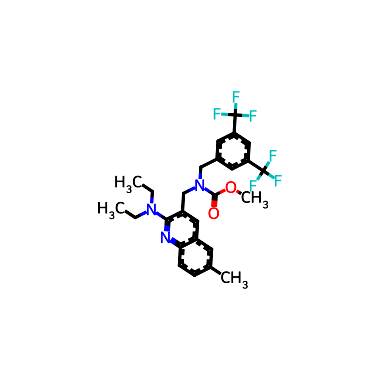 CCN(CC)c1nc2ccc(C)cc2cc1CN(Cc1cc(C(F)(F)F)cc(C(F)(F)F)c1)C(=O)OC